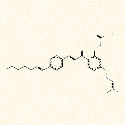 CCCCC/C=C/c1ccc(/C=C/C(=O)c2ccc(OCC=C(C)C)cc2OCC(=O)O)cc1